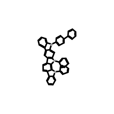 c1ccc(-c2ccc(-n3c4ccccc4c4cc5c6ccc7c8ccccc8n(-c8ccccc8)c7c6n(-c6ccccc6)c5cc43)cc2)cc1